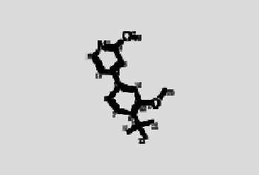 COc1cc(-c2ccc(C(C)(C)C)c(OC)c2)ccn1